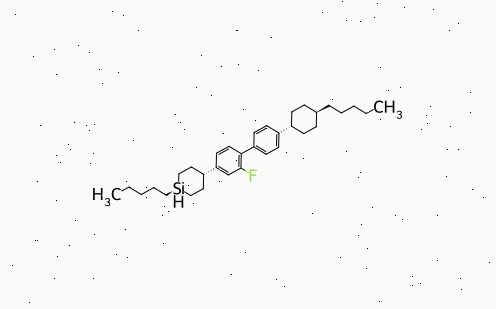 CCCCC[C@H]1CC[C@H](c2ccc(-c3ccc([C@H]4CC[Si@H](CCCCC)CC4)cc3F)cc2)CC1